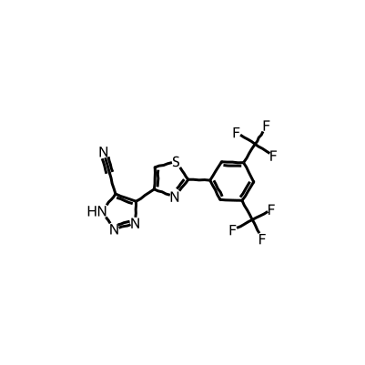 N#Cc1[nH]nnc1-c1csc(-c2cc(C(F)(F)F)cc(C(F)(F)F)c2)n1